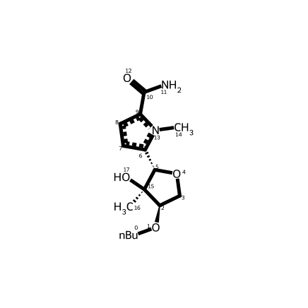 CCCCO[C@@H]1CO[C@@H](c2ccc(C(N)=O)n2C)[C@]1(C)O